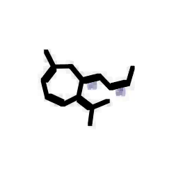 C/C=C\C=C1\CC(C)=CC=CC1=C(C)C